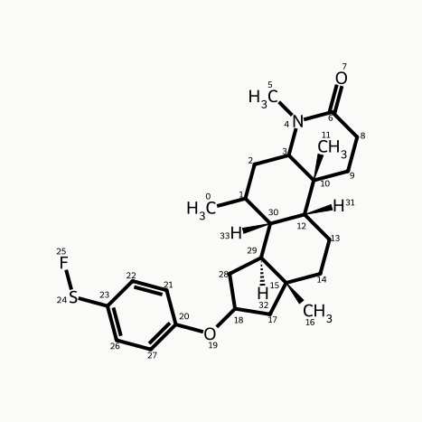 CC1CC2N(C)C(=O)CC[C@]2(C)[C@@H]2CC[C@]3(C)CC(Oc4ccc(SF)cc4)C[C@H]3[C@H]12